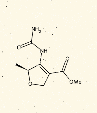 COC(=O)C1=C(NC(N)=O)[C@H](C)OC1